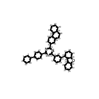 c1ccc(-c2ccc(-c3nc(-c4cccc(-c5cccc6oc7ccccc7c56)c4)nc(-c4ccc5c(ccc6ccccc65)c4)n3)cc2)cc1